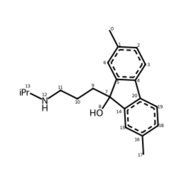 Cc1ccc2c(c1)C(O)(CCCNC(C)C)c1cc(C)ccc1-2